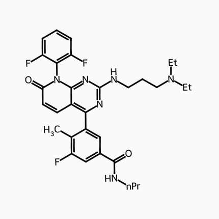 CCCNC(=O)c1cc(F)c(C)c(-c2nc(NCCCN(CC)CC)nc3c2ccc(=O)n3-c2c(F)cccc2F)c1